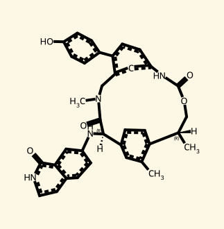 Cc1cc2ccc1[C@@H](C)COC(=O)Nc1ccc(-c3ccc(O)cc3)c(c1)CN(C)C(=O)[C@@H]2Nc1ccc2cc[nH]c(=O)c2c1